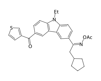 CCn1c2ccc(C(=O)c3ccsc3)cc2c2cc(/C(CC3CCCC3)=N\OC(C)=O)ccc21